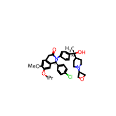 COc1cc2c(cc1OC(C)C)[C@H](c1ccc(Cl)cc1)N(c1ccc([C@](C)(O)C3CCN(C4COC4)CC3)cc1)C(=O)C2